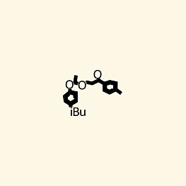 CCC(C)c1ccc(OC(C)OCCC(=O)c2ccc(C)cc2)cc1